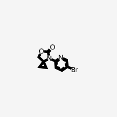 O=C1OCC2(CC2)N1c1ccc(Br)cn1